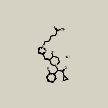 Cl.O=C(O)CCCCn1ccc(C=C2CN(C(C(=O)C3CC3)c3ccccc3F)CCC2S)n1